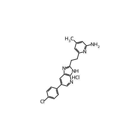 Cc1cc(N)nc(CCc2nc3cc(-c4ccc(Cl)cc4)cnc3[nH]2)c1.Cl